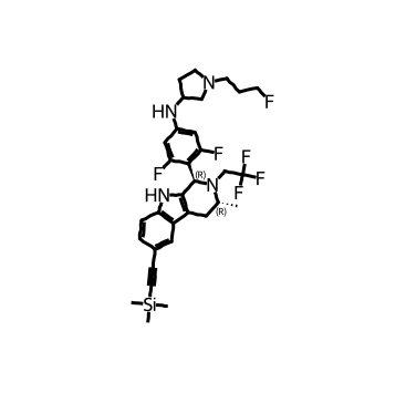 C[C@@H]1Cc2c([nH]c3ccc(C#C[Si](C)(C)C)cc23)[C@@H](c2c(F)cc(NC3CCN(CCCF)C3)cc2F)N1CC(F)(F)F